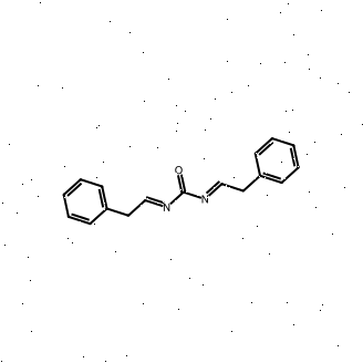 O=C(N=CCc1ccccc1)N=CCc1ccccc1